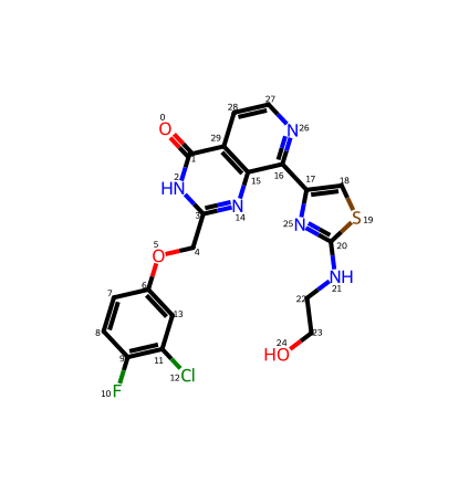 O=c1[nH]c(COc2ccc(F)c(Cl)c2)nc2c(-c3csc(NCCO)n3)nccc12